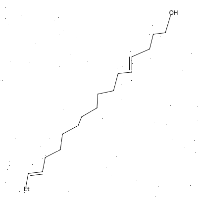 CCC=CCCCCCCCCCC=CCCCO